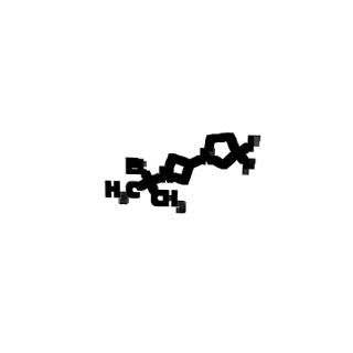 CCC(C)(C)N1CC(N2CCC(F)(F)C2)C1